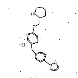 Cl.c1csc(-c2ccc(Cc3ccc(OC[C@H]4CCCCN4)cc3)cc2)c1